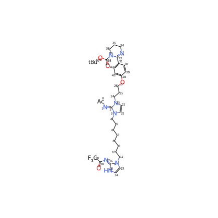 CC(=O)/N=c1/n(CCCCCCCCn2cc[nH]/c2=N\C(=O)C(F)(F)F)ccn1CCCOc1ccc(C2=NCCCN2C(=O)OC(C)(C)C)cc1